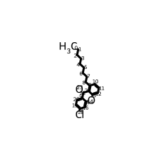 CCCCCCCCCc1cccc2oc3cc(Cl)ccc3c(=O)c12